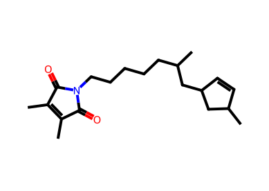 CC1=C(C)C(=O)N(CCCCCC(C)CC2C=CC(C)C2)C1=O